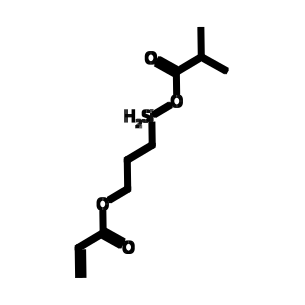 C=CC(=O)OCCC[SiH2]OC(=O)C(C)C